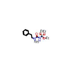 CCCN(CCc1ccccc1)C(=O)N[Si](OCC)(OCC)OCC